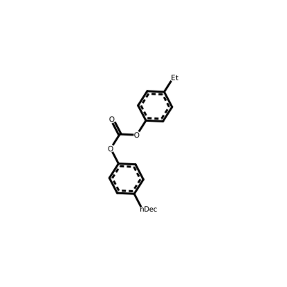 CCCCCCCCCCc1ccc(OC(=O)Oc2ccc(CC)cc2)cc1